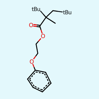 CC(C)(C)CC(C)(C(=O)OCCOc1ccccc1)C(C)(C)C